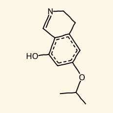 CC(C)Oc1cc(O)c2c(c1)CCN=C2